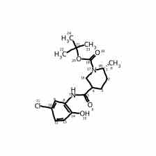 C[C@@H]1CCC(C(=O)Nc2cc(Cl)ccc2O)CN1C(=O)OC(C)(C)C